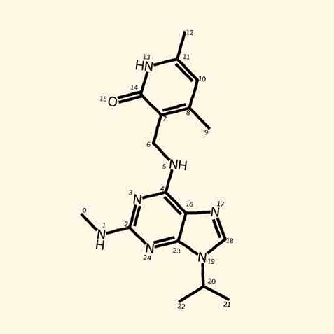 CNc1nc(NCc2c(C)cc(C)[nH]c2=O)c2ncn(C(C)C)c2n1